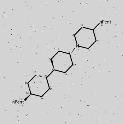 CCCCCC1CCN([C@H]2CC[C@H]([C@H]3CC[C@H](CCCCC)CC3)CC2)CC1